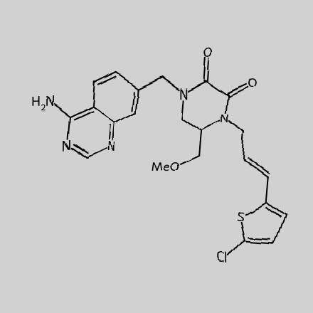 COCC1CN(Cc2ccc3c(N)ncnc3c2)C(=O)C(=O)N1CC=Cc1ccc(Cl)s1